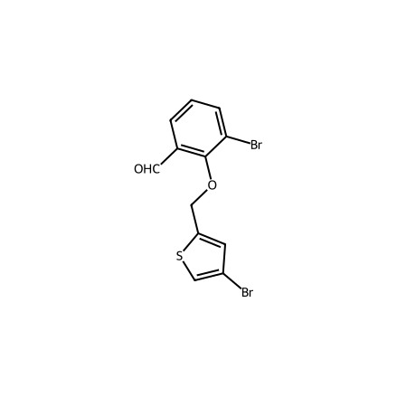 O=Cc1cccc(Br)c1OCc1cc(Br)cs1